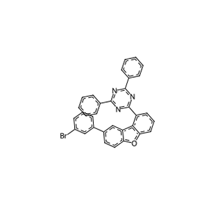 Brc1cccc(-c2ccc3oc4cccc(-c5nc(-c6ccccc6)nc(-c6ccccc6)n5)c4c3c2)c1